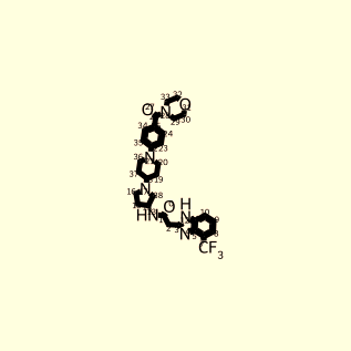 O=C(Cc1nc2c(C(F)(F)F)cccc2[nH]1)N[C@@H]1CCN(C2CCN(c3ccc(C(=O)N4CCOCC4)cc3)CC2)C1